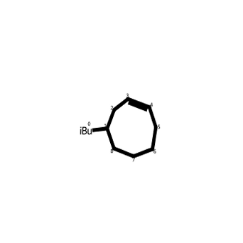 [CH2]C(CC)C1CC=CCCCC1